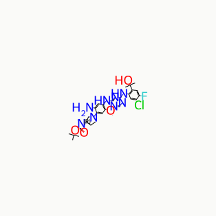 COc1cc(N2CC[C@@H](N(C)C(=O)OC(C)(C)C)C2)c(N)cc1Nc1ncnc(Nc2cc(Cl)c(F)cc2C(C)(C)O)n1